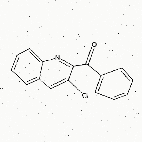 O=C(c1ccccc1)c1nc2ccccc2cc1Cl